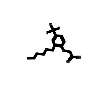 CCCCOCc1cc(C(F)(F)F)ccc1OCC(=O)O